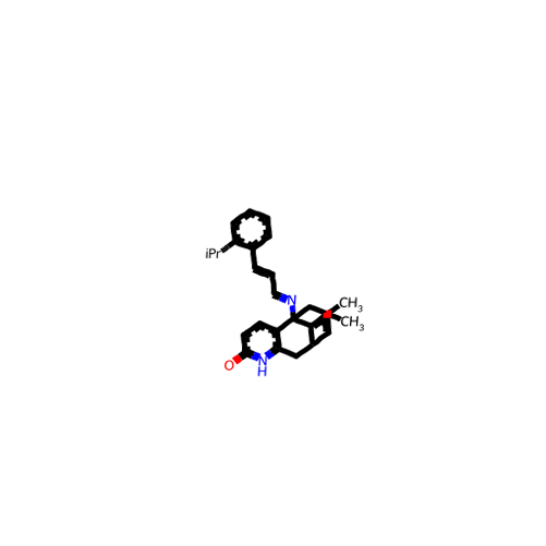 C/C=C1\C2C=C(C)CC1(/N=C/C=C/c1ccccc1C(C)C)c1ccc(=O)[nH]c1C2